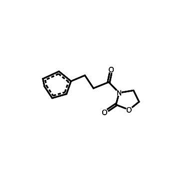 O=C(CCc1ccccc1)N1CCOC1=O